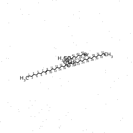 CCCCCCCCC=CCCCCCCCC(OCCCCCCCCCCCCCCCC)O[Si](C)(C)OCCCCCCBr